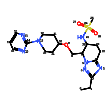 CCc1nc2n(n1)C(COC1CCN(c3ncccn3)CC1)C(NS(C)(=O)=O)CC2